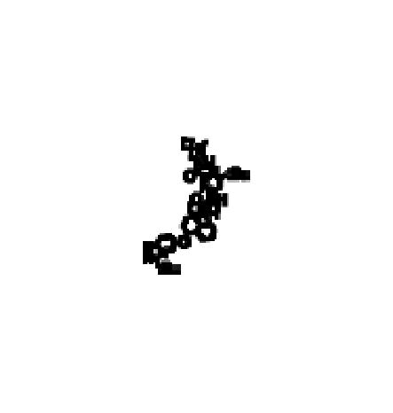 CN(C)C1(CNC(=O)c2nc(NC(=O)N[C@@]3(C=O)C=C[C@@H](Oc4ccc5nnc(C(C)(C)C)n5c4)c4ccccc43)cc(C(C)(C)C)n2)CCC1